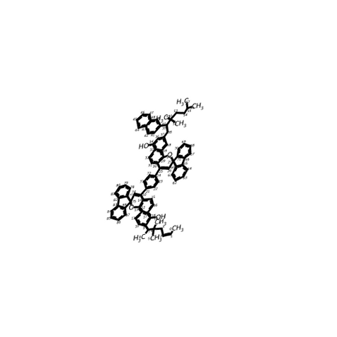 C/C=C\CC(C)(C)C(C)c1ccc2c3c(ccc2c1O)C(c1ccc(C2=CC4(Oc5c2ccc2c(O)cc(CC(c6ccc7ccccc7c6)C(C)(C)CCC(C)C)cc52)c2ccccc2-c2ccccc24)cc1)=CC1(O3)c2ccccc2-c2ccccc21